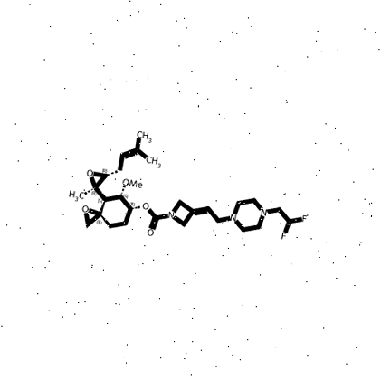 CO[C@@H]1[C@H](OC(=O)N2CC(=CCN3CCN(CC(F)F)CC3)C2)CC[C@]2(CO2)[C@H]1[C@@]1(C)O[C@@H]1CC=C(C)C